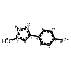 CC(C)c1ccc(-c2cn(C)nn2)cc1